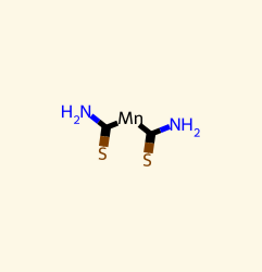 N[C](=S)[Mn][C](N)=S